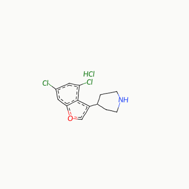 Cl.Clc1cc(Cl)c2c(C3CCNCC3)coc2c1